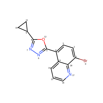 Brc1ccc(-c2nnc(C3CC3)o2)c2cccnc12